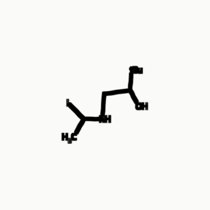 CC(I)NCC(O)C(C)(C)C